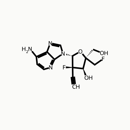 C#C[C@@]1(F)[C@H](O)[C@](CO)(CF)O[C@H]1n1cnc2c(N)ccnc21